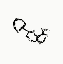 Nc1ncnc2c1N=C(c1ccccn1)CO2